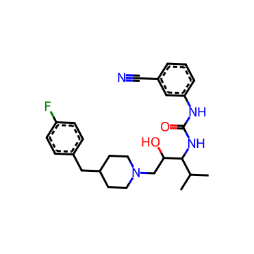 CC(C)C(NC(=O)Nc1cccc(C#N)c1)C(O)CN1CCC(Cc2ccc(F)cc2)CC1